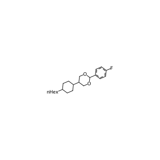 CCCCCCC1CCC(C2COC(c3ccc(F)cc3)OC2)CC1